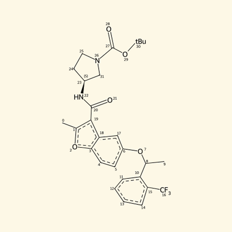 Cc1oc2ccc(OC(C)c3ccccc3C(F)(F)F)cc2c1C(=O)N[C@H]1CCN(C(=O)OC(C)(C)C)C1